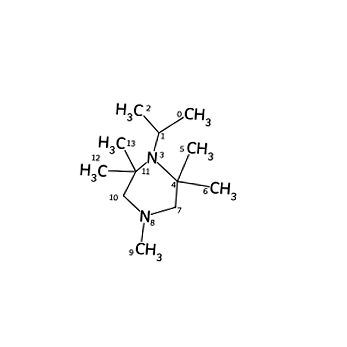 CC(C)N1C(C)(C)CN(C)CC1(C)C